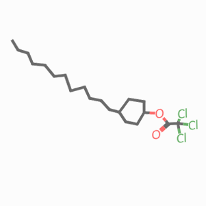 CCCCCCCCCCCCC1CCC(OC(=O)C(Cl)(Cl)Cl)CC1